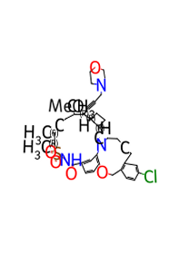 CO[C@]1(C#CCN2CCOCC2)C(C)CC[C@H](C)[C@@H](C)S(=O)(=O)NC(=O)c2ccc3c(c2)N(CCCCc2cc(Cl)ccc2CO3)C[C@@H]2CC[C@H]21